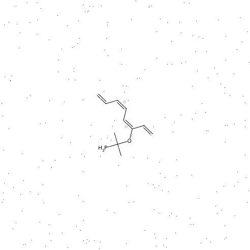 C=C/C=C\C=C(/C=C)OC(C)(C)P